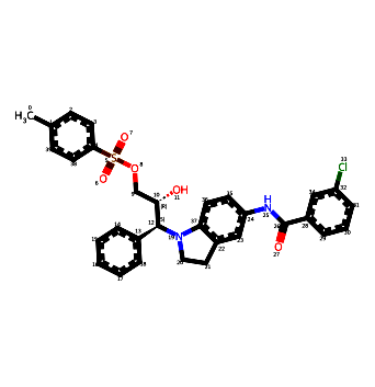 Cc1ccc(S(=O)(=O)OC[C@H](O)[C@H](c2ccccc2)N2CCc3cc(NC(=O)c4cccc(Cl)c4)ccc32)cc1